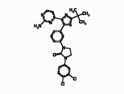 CC(C)(C)c1nc(-c2ccnc(N)n2)c(-c2cccc(N3CCN(c4ccc(Cl)c(Cl)c4)C3=O)c2)s1